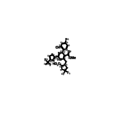 COC(=O)C1=C(CN2CC(F)(F)C[C@H]2C(=O)O)NC(c2nc(C(C)(F)F)cs2)=N[C@H]1c1ccc(F)cc1Cl